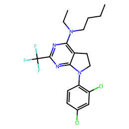 CCCCN(CC)c1nc(C(F)(F)F)nc2c1CCN2c1ccc(Cl)cc1Cl